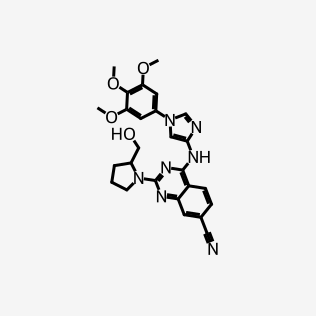 COc1cc(-n2cnc(Nc3nc(N4CCCC4CO)nc4cc(C#N)ccc34)c2)cc(OC)c1OC